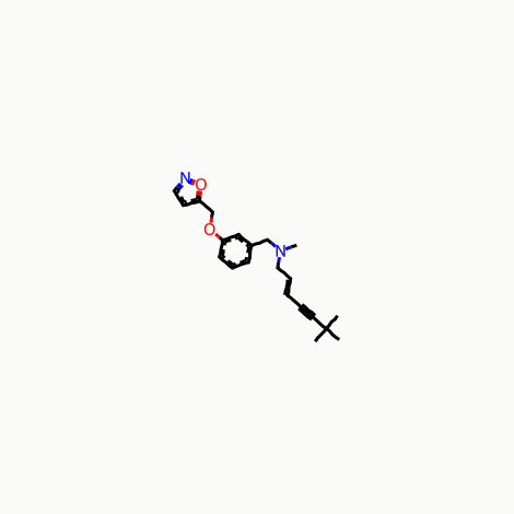 CN(C/C=C/C#CC(C)(C)C)Cc1cccc(OCc2ccno2)c1